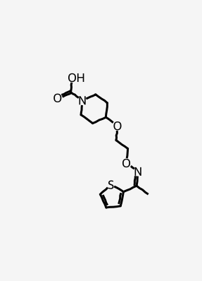 C/C(=N/OCCOC1CCN(C(=O)O)CC1)c1cccs1